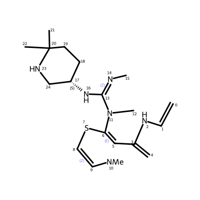 C=CNC(=C)/C=C(/S/C=C\NC)N(C)/C(=N\C)N[C@H]1CCC(C)(C)NC1